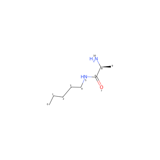 CCCCCNC(=O)[C@H](C)N